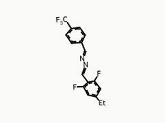 CCc1cc(F)c(C=NN=Cc2ccc(C(F)(F)F)cc2)c(F)c1